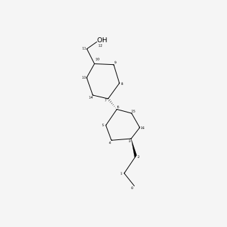 CCC[C@H]1CC[C@H](C2CCC(CO)CC2)CC1